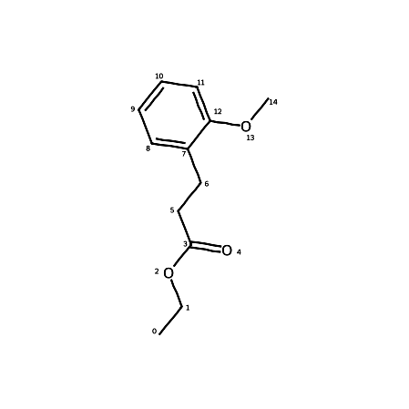 CCOC(=O)CCc1ccccc1OC